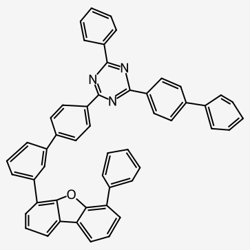 c1ccc(-c2ccc(-c3nc(-c4ccccc4)nc(-c4ccc(-c5cccc(-c6cccc7c6oc6c(-c8ccccc8)cccc67)c5)cc4)n3)cc2)cc1